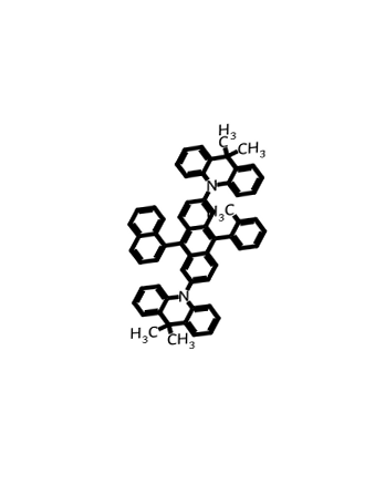 Cc1ccccc1-c1c2cc(N3c4ccccc4C(C)(C)c4ccccc43)ccc2c(-c2cccc3ccccc23)c2cc(N3c4ccccc4C(C)(C)c4ccccc43)ccc12